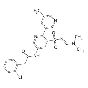 CN(C)C=NS(=O)(=O)c1cc(NC(=O)Cc2ccccc2Cl)cnc1-c1cncc(C(F)(F)F)c1